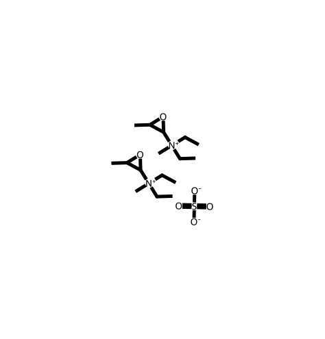 CC[N+](C)(CC)C1OC1C.CC[N+](C)(CC)C1OC1C.O=S(=O)([O-])[O-]